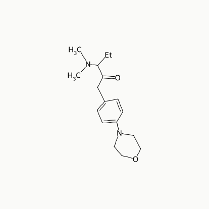 CCC(C(=O)Cc1ccc(N2CCOCC2)cc1)N(C)C